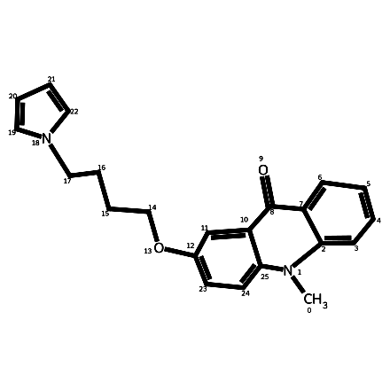 Cn1c2ccccc2c(=O)c2cc(OCCCCn3cccc3)ccc21